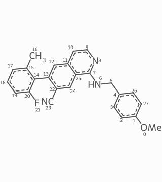 COc1ccc(CNc2nccc3cc(-c4c(C)cccc4F)c(C#N)cc23)cc1